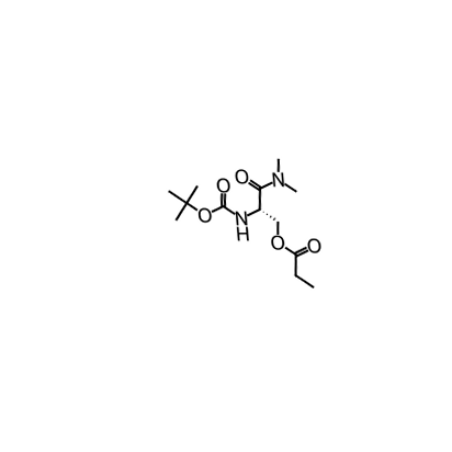 CCC(=O)OC[C@H](NC(=O)OC(C)(C)C)C(=O)N(C)C